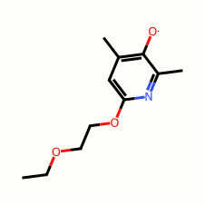 CCOCCOc1cc(C)c([O])c(C)n1